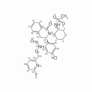 CS(=O)(=O)N[C@H]1CCCCC1N1C(=O)c2ccccc2[C@@H](C(=O)NOCc2cccc(F)n2)[C@@H]1c1ccc(Cl)cc1